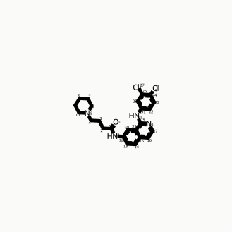 O=C(CCCN1CCCCC1)Nc1ccc2ccnc(Nc3ccc(Cl)c(Cl)c3)c2c1